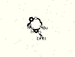 CCC(C)N1C/C=C/CCOc2cccc(c2)-c2ccnc(n2)Nc2ccc(OCCN(CC)CC)c(c2)C1